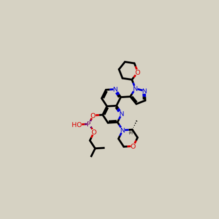 CC(C)COP(O)Oc1cc(N2CCOC[C@H]2C)nc2c(-c3ccnn3C3CCCCO3)nccc12